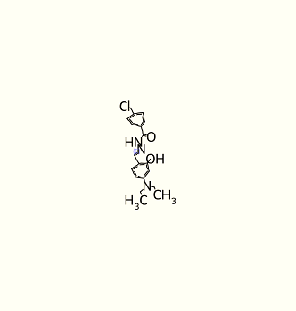 CCN(CC)c1ccc(/C=N/NC(=O)c2ccc(Cl)cc2)c(O)c1